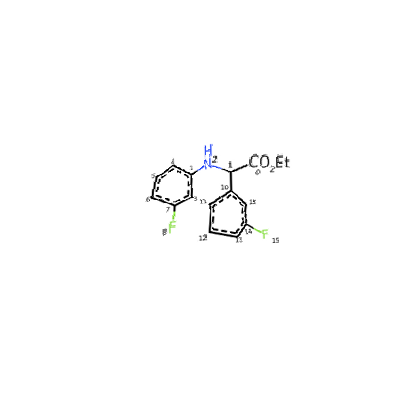 CCOC(=O)C(Nc1cccc(F)c1)c1cccc(F)c1